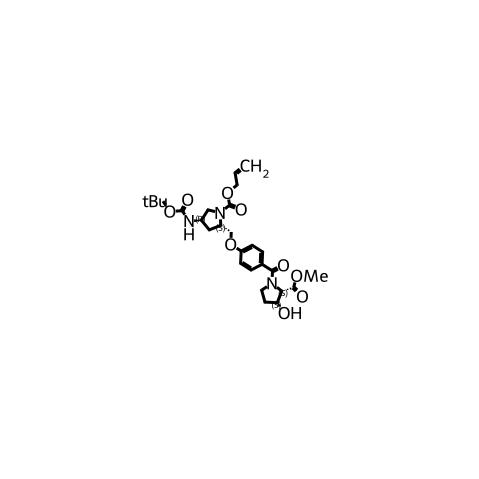 C=CCOC(=O)N1C[C@H](NC(=O)OC(C)(C)C)C[C@H]1COc1ccc(C(=O)N2CC[C@H](O)[C@H]2C(=O)OC)cc1